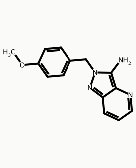 COc1ccc(Cn2nc3cccnc3c2N)cc1